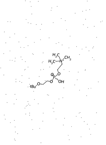 CC(C)(C)OCCOP(=O)(O)OCC[N+](C)(C)C